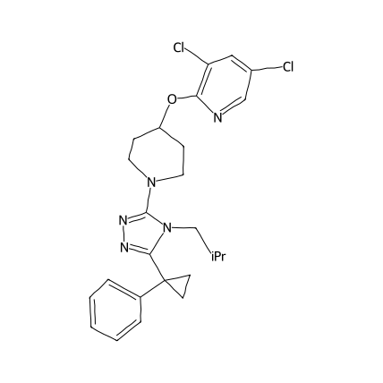 CC(C)Cn1c(N2CCC(Oc3ncc(Cl)cc3Cl)CC2)nnc1C1(c2ccccc2)CC1